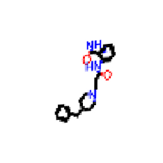 NC(=O)c1ccccc1NC(=O)CCN1CCC(Cc2ccccc2)CC1